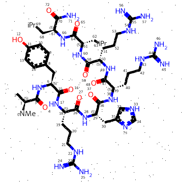 CN[C@@H](C)C(=O)N[C@@H](Cc1ccc(O)cc1)C(=O)N[C@@H](CCCNC(=N)N)C(=O)N[C@@H](Cc1c[nH]cn1)C(=O)N[C@@H](CCCNC(=N)N)C(=O)N[C@@H](CCCNC(=N)N)C(=O)N[C@@H](CC(C)C)C(=O)N[C@@H](CC(C)C)C(N)=O